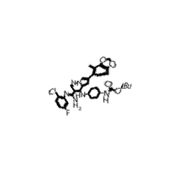 Cc1c(-c2cc3c(N[C@H]4CC[C@H](NC(=O)OC(C)(C)C)CC4)c(C(N)=Nc4cc(F)ccc4Cl)cnn3c2)ccc2c1OCO2